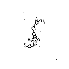 Cc1ccc(CN2CCC(c3ccc4c(c3)cc(C(=O)N3CCN(Cc5ccc(C(F)F)cc5)CC3)n4C)CC2)cn1